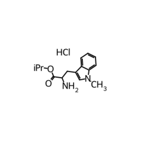 CC(C)OC(=O)C(N)Cc1cn(C)c2ccccc12.Cl